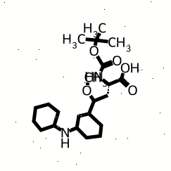 COC(C[C@H](NC(=O)OC(C)(C)C)C(=O)O)C1CCCC(NC2CCCCC2)C1